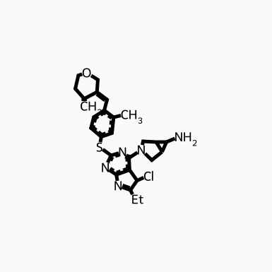 C=C1CCOC/C1=C/c1ccc(Sc2nc3c(c(N4CC5C(N)C5C4)n2)C(Cl)C(CC)=N3)cc1C